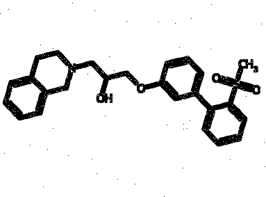 CS(=O)(=O)c1ccccc1-c1cccc(OCC(O)CN2CCc3ccccc3C2)c1